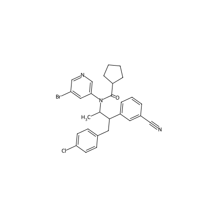 CC(C(Cc1ccc(Cl)cc1)c1cccc(C#N)c1)N(C(=O)C1CCCC1)c1cncc(Br)c1